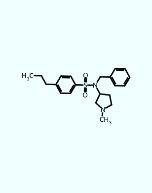 CCCc1ccc(S(=O)(=O)N(Cc2ccccc2)C2CCN(C)C2)cc1